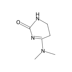 CN(C)C1=NC(=O)NCC1